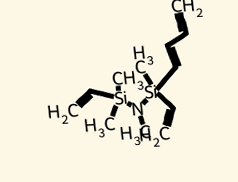 C=CC=C[Si](C)(C=C)N(C)[Si](C)(C)C=C